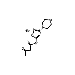 Br.CC(=O)CC(=S)[N-]c1c[n+](N2CCNCC2)no1